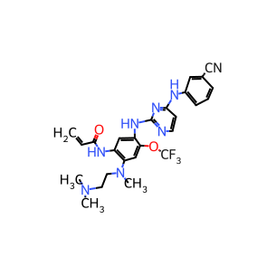 C=CC(=O)Nc1cc(Nc2nccc(Nc3cccc(C#N)c3)n2)c(OC(F)(F)F)cc1N(C)CCN(C)C